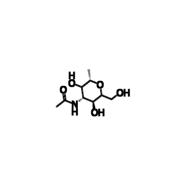 CC(=O)N[C@@H]1C(O)[C@H](C)OC(CO)[C@H]1O